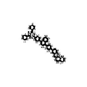 c1ccc(-c2nc(-c3ccccc3)nc(-c3ccc(-c4ccc(-c5ccc(-c6ccc7nc8c(ccc9cccnc98)cc7c6)cc5)c5ccccc45)cc3)n2)cc1